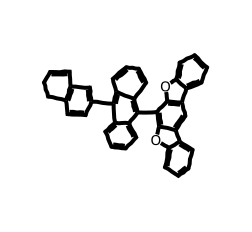 C1=Cc2cc(-c3c4ccccc4c(-c4c5oc6ccccc6c5cc5c4oc4ccccc45)c4ccccc34)ccc2CC1